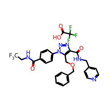 O=C(NCC(F)(F)F)c1ccc(-n2nnc(C(=O)NCc3ccncc3)c2COCc2ccccc2)cc1.O=C(O)C(F)(F)F